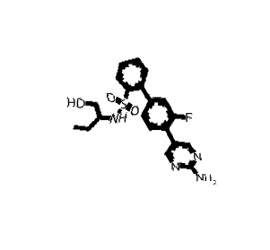 CCC(CO)NS(=O)(=O)c1ccccc1-c1ccc(-c2cnc(N)nc2)c(F)c1